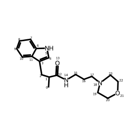 CC(Cc1c[nH]c2ccccc12)C(=O)NCCCN1CCOCC1